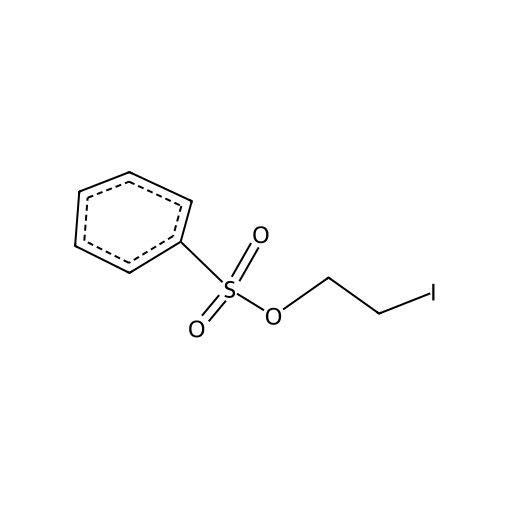 O=S(=O)(OCCI)c1ccccc1